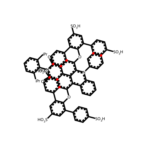 CC(C)c1cccc(C(C)C)c1-n1c(=O)c2cc(Oc3c(-c4ccc(S(=O)(=O)O)cc4)cc(S(=O)(=O)O)cc3-c3ccc(S(=O)(=O)O)cc3)c3c4ccccc4n(-c4ccccc4)c4c(Oc5c(-c6ccc(S(=O)(=O)O)cc6)cc(S(=O)(=O)O)cc5-c5ccc(S(=O)(=O)O)cc5)cc(c1=O)c2c34